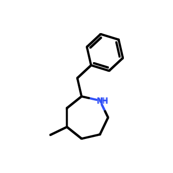 CC1CCCNC(Cc2ccccc2)C1